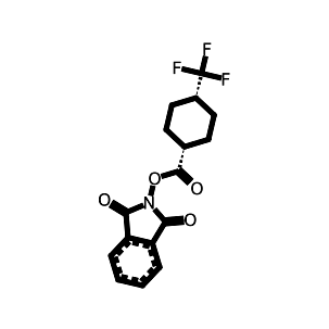 O=C1c2ccccc2C(=O)N1OC(=O)[C@H]1CC[C@@H](C(F)(F)F)CC1